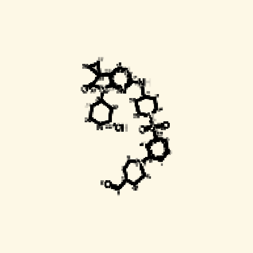 O=CC1CCN(c2cccc(S(=O)(=O)N3CCC(Nc4ncc5c(n4)N([C@@H]4CCC[C@@H](O)C4)C(=O)C54CC4)CC3)c2)CC1